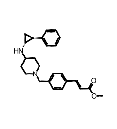 COC(=O)/C=C/c1ccc(CN2CCC(N[C@@H]3C[C@H]3c3ccccc3)CC2)cc1